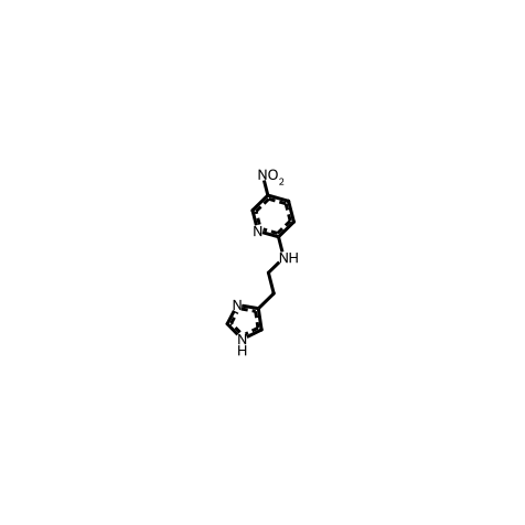 O=[N+]([O-])c1ccc(NCCc2c[nH]cn2)nc1